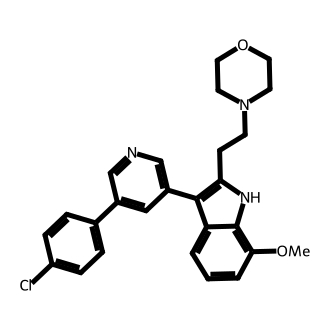 COc1cccc2c(-c3cncc(-c4ccc(Cl)cc4)c3)c(CCN3CCOCC3)[nH]c12